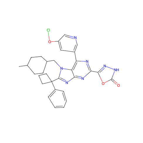 CC1CCC(Cn2c(C3(c4ccccc4)CCC3)nc3nc(-c4n[nH]c(=O)o4)nc(-c4cncc(OCl)c4)c32)CC1